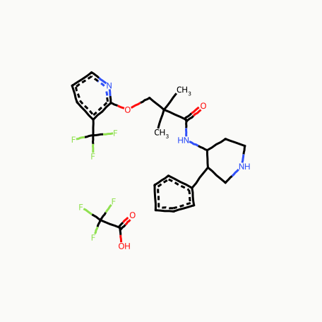 CC(C)(COc1ncccc1C(F)(F)F)C(=O)NC1CCNCC1c1ccccc1.O=C(O)C(F)(F)F